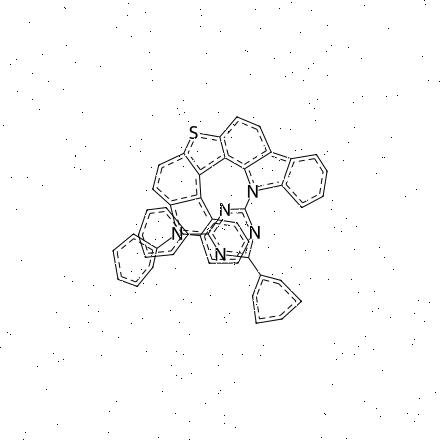 c1ccc(-c2nc(-c3ccccc3)nc(-n3c4ccccc4c4ccc5sc6ccc7c(c8ccccc8n7-c7ccccc7)c6c5c43)n2)cc1